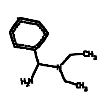 CCN(CC)C(N)c1cc[c]cc1